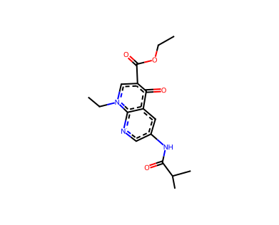 CCOC(=O)c1cn(CC)c2ncc(NC(=O)C(C)C)cc2c1=O